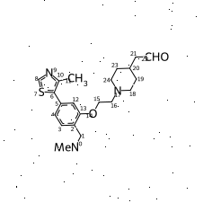 CNCc1ccc(-c2scnc2C)cc1OCCN1CCC(CC=O)CC1